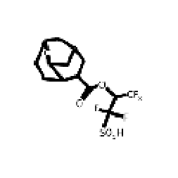 O=C(OC(C(F)(F)F)C(F)(F)S(=O)(=O)O)C1CC2CC3CCC1C(C3)C2